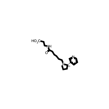 O=C(O)CCNC(=O)CCCCCN1CCC[C@H]1c1cccnc1